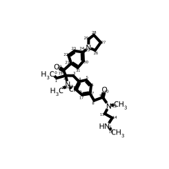 CCC(Cc1ccc(CC(=O)N(C)CCNC)cc1)(C(=O)c1ccc(N2CCCC2)cc1)N(C)C